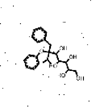 CC(C)C(Cc1ccccc1)(Oc1ccccc1)C(O)C(O)C(O)C(O)CO